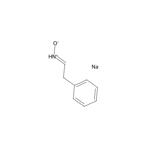 [Na].[O-][NH+]=CCc1ccccc1